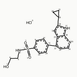 Cl.O=S(=O)(NCCO)c1ccc(-c2ccnc3[nH]c(C4CC4)cc23)cc1